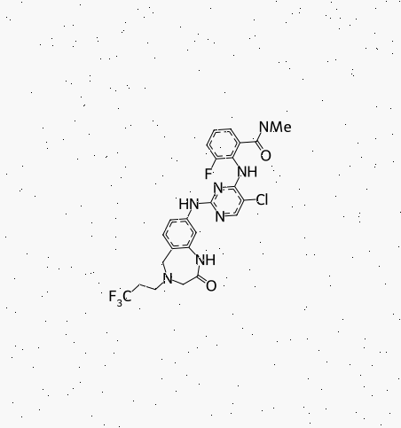 CNC(=O)c1cccc(F)c1Nc1nc(Nc2ccc3c(c2)NC(=O)CN(CCC(F)(F)F)C3)ncc1Cl